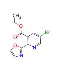 CCOC(=O)c1cc(Br)cnc1-c1ncco1